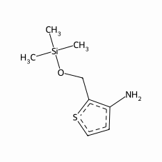 C[Si](C)(C)OCc1sccc1N